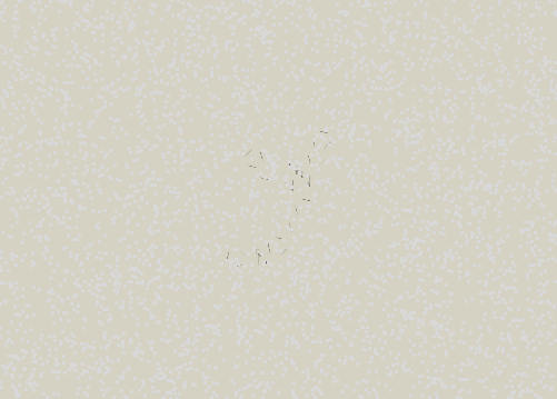 c1ccc(-c2nc3ccc4cc(-c5cccc(-c6nc(-c7ccc8ccccc8c7)nc(-c7ccc8ccccc8c7)n6)c5)ccc4c3o2)cc1